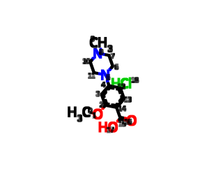 COc1cc(N2CCN(C)CC2)ccc1C(=O)O.Cl